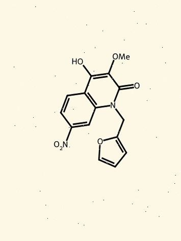 COc1c(O)c2ccc([N+](=O)[O-])cc2n(Cc2ccco2)c1=O